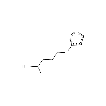 CC(O)CCCOc1ccns1